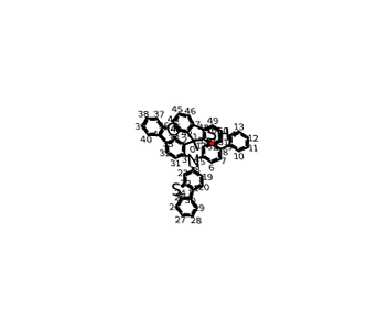 CC1(c2c(N(c3ccc(-c4ccccc4)c(S)c3)c3ccc4c(c3)sc3ccccc34)ccc3c2oc2ccccc23)c2ccccc2-c2ccccc21